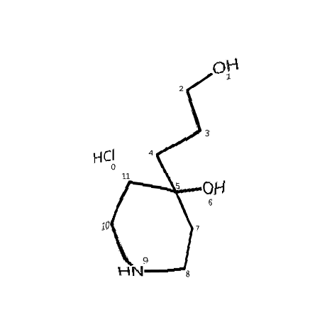 Cl.OCCCC1(O)CCNCC1